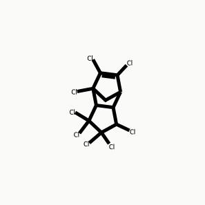 ClC1=C(Cl)C2(Cl)CC1C1C(Cl)C(Cl)(Cl)C(Cl)(Cl)C12